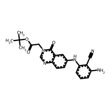 CC(C)(C)OC(=O)Cn1cnc2ccc(Nc3cccc(N)c3C#N)cc2c1=O